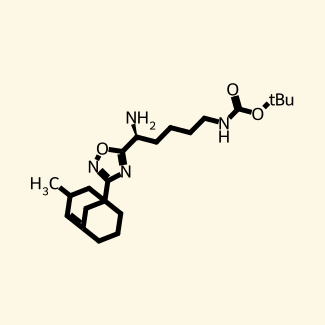 CC1C=C2CCCC(c3noc([C@@H](N)CCCCNC(=O)OC(C)(C)C)n3)(C2)C1